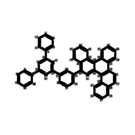 c1ccc(-c2cc(-c3ccccc3)nc(-c3cccc(-c4nc5c6c7ccccc7ccc6c6ccccc6c5c5ccccc45)c3)n2)cc1